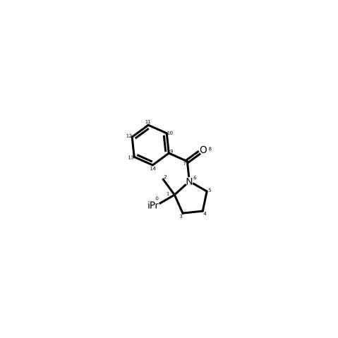 CC(C)C1(C)CCCN1C(=O)c1ccccc1